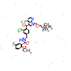 COc1ccc(F)cc1C(=O)NCc1ccc(C(=O)c2cn(COCC[Si](C)(C)C)c3nccc(Cl)c23)c(Cl)c1